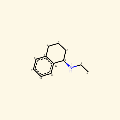 CCN[C@@H]1CCCc2ccccc21